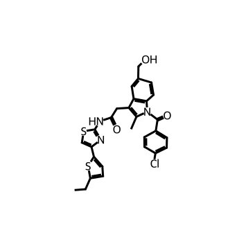 CCc1ccc(-c2csc(NC(=O)Cc3c(C)n(C(=O)c4ccc(Cl)cc4)c4ccc(CO)cc34)n2)s1